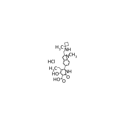 CCc1c(-c2ccc3c(c2)cc(CNC2(C)CCC2)n3C)[nH]c(=O)c(C(=O)O)c1O.Cl